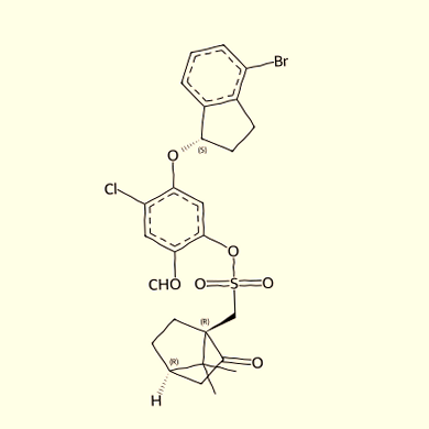 CC1(C)[C@@H]2CC[C@]1(CS(=O)(=O)Oc1cc(O[C@H]3CCc4c(Br)cccc43)c(Cl)cc1C=O)C(=O)C2